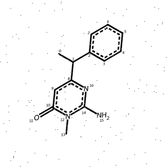 CC(c1ccccc1)c1cc(=O)n(C)c(N)n1